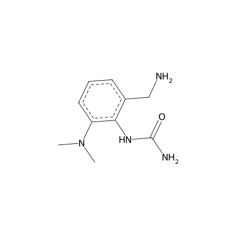 CN(C)c1cccc(CN)c1NC(N)=O